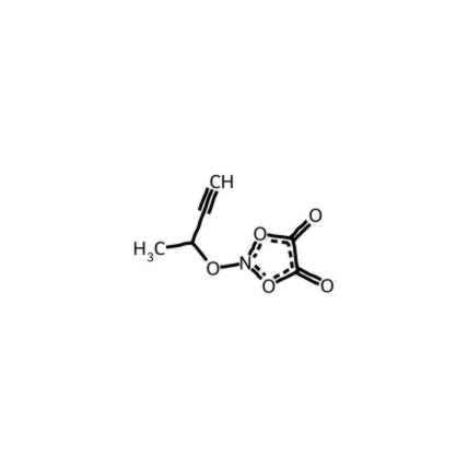 C#CC(C)On1oc(=O)c(=O)o1